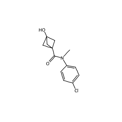 CN(C(=O)C12CC(O)(C1)C2)c1ccc(Cl)cc1